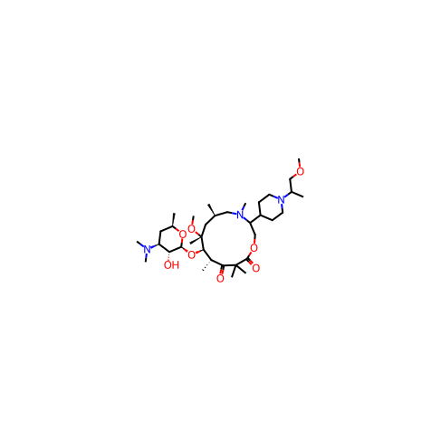 COCC(C)N1CCC(C2COC(=O)C(C)(C)C(=O)[C@H](C)[C@@H](O[C@@H]3O[C@H](C)C[C@H](N(C)C)[C@H]3O)[C@](C)(OC)C[C@@H](C)CN2C)CC1